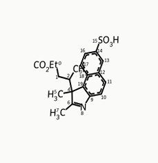 CCOC(=O)CC(C)C1(C)C(C)=Nc2ccc3cc(S(=O)(=O)O)ccc3c21